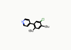 CC(C)(C)c1cc(C(C)(C)C)c(-c2ccncc2)cc1Cl